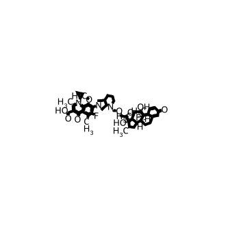 COc1c(N2CC3CCCN(COCC(=O)[C@@]4(O)[C@@H](C)C[C@H]5[C@@H]6CCC7=CC(=O)C=C[C@]7(C)[C@@]6(F)[C@@H](O)C[C@@]54C)C3C2)c(F)c(C)c2c(=O)c(C(=O)O)c(C)n(C3CC3)c12